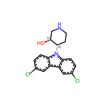 O[C@H]1CNCC[C@@H]1n1c2ccc(Cl)cc2c2cc(Cl)ccc21